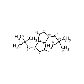 CC(C)(C)OC1COC2C1OC[C@H]2SC(C)(C)C